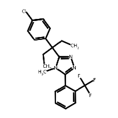 CCC(CC)(c1ccc(Cl)cc1)c1nnc(-c2ccccc2C(F)(F)F)n1C